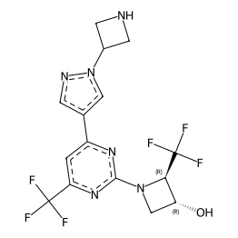 O[C@@H]1CN(c2nc(-c3cnn(C4CNC4)c3)cc(C(F)(F)F)n2)[C@H]1C(F)(F)F